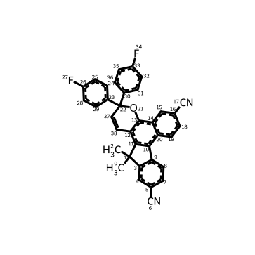 CC1(C)c2cc(C#N)ccc2-c2c1c1c(c3cc(C#N)ccc23)OC(c2ccc(F)cc2)(c2ccc(F)cc2)C=C1